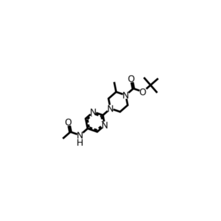 CC(=O)Nc1cnc(N2CCN(C(=O)OC(C)(C)C)C(C)C2)nc1